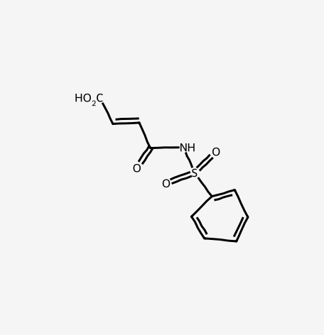 O=C(O)C=CC(=O)NS(=O)(=O)c1ccccc1